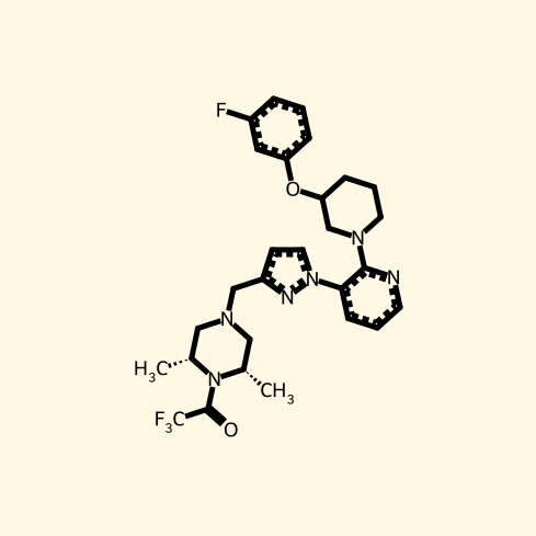 C[C@@H]1CN(Cc2ccn(-c3cccnc3N3CCCC(Oc4cccc(F)c4)C3)n2)C[C@H](C)N1C(=O)C(F)(F)F